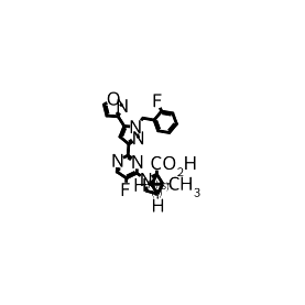 C[C@@]12[C@H]3CN(c4nc(-c5cc(-c6ccon6)n(Cc6ccccc6F)n5)ncc4F)C1(C(=O)O)[C@H]32